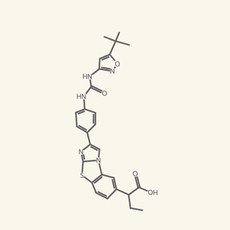 CCC(C(=O)O)c1ccc2sc3nc(-c4ccc(NC(=O)Nc5cc(C(C)(C)C)on5)cc4)cn3c2c1